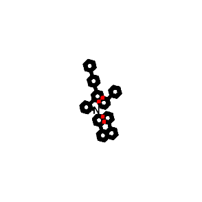 c1ccc(-c2ccc(-c3cccc(-c4ccccc4N(c4ccc(-c5ccccc5)cc4)c4ccc(-c5cccc6cccc(-c7ccccc7)c56)cc4)c3)cc2)cc1